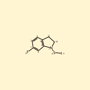 Fc1ccc2c(c1)N(SI)CC2